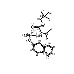 CC(C)[C@H](NP(=O)(Cl)Oc1ccc2ncccc2c1)C(=O)OCC(C)(C)C